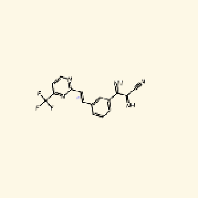 N#CC(=N)C(=N)c1cccc(/C=C/c2nccc(C(F)(F)F)n2)c1